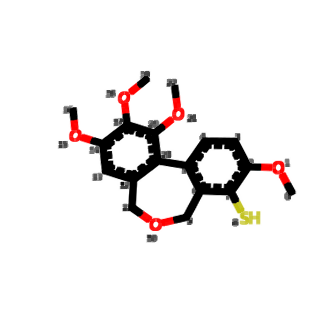 COc1ccc2c(c1S)COCc1cc(OC)c(OC)c(OC)c1-2